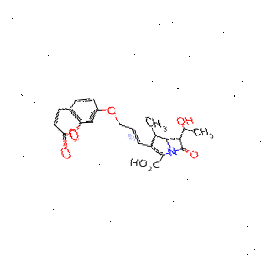 CC(O)C1C(=O)N2C(C(=O)O)=C(/C=C/COc3ccc4ccc(=O)oc4c3)C(C)C12